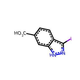 O=C(O)c1ccc2c(I)n[nH]c2c1